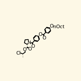 CCCCCCCCOc1ccc(C(=O)Oc2ccc(C(=O)N3CCC[C@H]3C(=O)OC[C@H](C)Cl)cc2)cc1